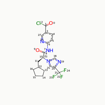 O=C(Cl)c1ccc(NC(=O)[C@H](CC2CCCC2)n2cnc(C(F)(F)F)c2)nc1